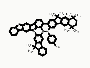 CC(C)(C)c1ccc(N2B3c4cc5c(cc4-n4c6cc7c(cc6c6ccc(c3c64)-c3cc4c(cc32)-c2cc3c(cc2C4(C)C)C(C)(C)CCC3(C)C)sc2ccccc27)C(C)(C)c2ccccc2-5)cc1